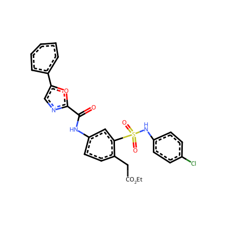 CCOC(=O)Cc1ccc(NC(=O)c2ncc(-c3ccccc3)o2)cc1S(=O)(=O)Nc1ccc(Cl)cc1